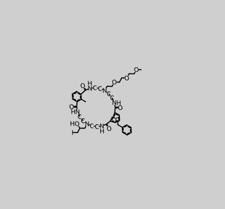 COCCOCCOCCN1CCNC(=O)c2cccc(c2C)C(=O)NCCN(CC(O)CI)CCNC(=O)c2cccc(c2OCc2ccccc2)C(=O)NCC1